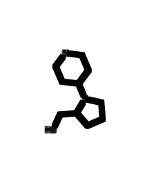 OCC1CCCN1C1CC[N]CC1